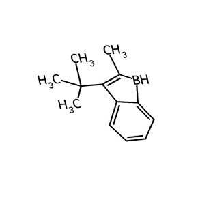 CC1=C(C(C)(C)C)c2ccccc2B1